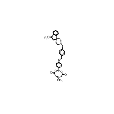 CC1CC2(CCN(Cc3ccc(COc4ccc(B5OC(=O)CN(C)CC(=O)O5)cc4)cc3)CC2)c2ccccc21